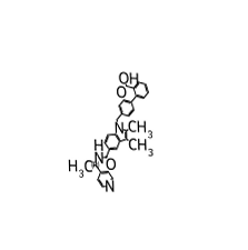 Cc1c(C)n(Cc2ccc(-c3ccccc3C(=O)O)cc2)c2ccc(C(=O)N[C@H](C)c3ccncc3)cc12